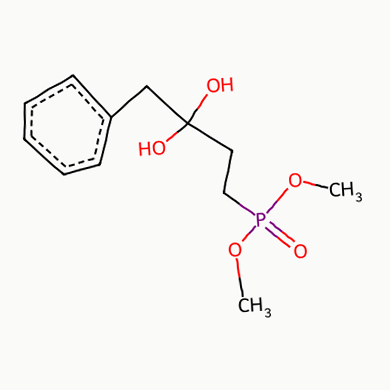 COP(=O)(CCC(O)(O)Cc1ccccc1)OC